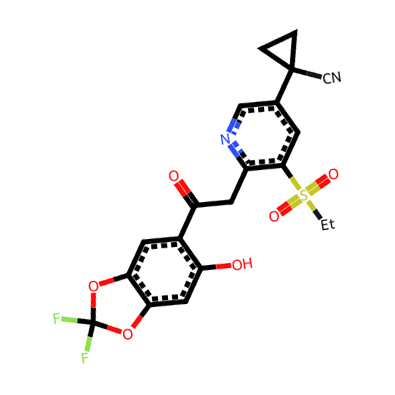 CCS(=O)(=O)c1cc(C2(C#N)CC2)cnc1CC(=O)c1cc2c(cc1O)OC(F)(F)O2